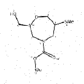 CSC1CO[C@H](CO)CN(C(=O)OC(C)(C)C)C1